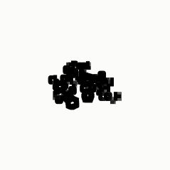 CCCCCOC(=O)COc1cc(N2C(=O)C3=C(CCCC3)C2=O)c(F)cc1Cl.Nc1c([N+](=O)[O-])ccc(Oc2ccccc2)c1Cl.O=C(O)CNCP(=O)(O)O